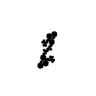 CC(C)N(CCC(c1ccccc1)c1cc(COC(=O)/C=C/C(=O)OCc2ccc(OCc3ccccc3)c(C(CCN(C(C)C)C(C)C)c3ccccc3)c2)ccc1OCc1ccccc1)C(C)C